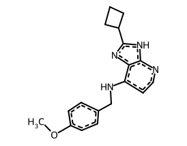 COc1ccc(CNc2ccnc3[nH]c(C4CCC4)nc23)cc1